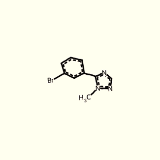 Cn1ncnc1-c1cccc(Br)c1